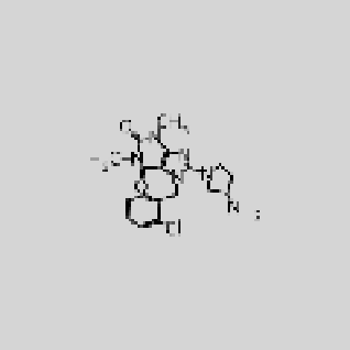 Cn1c(=O)c2c(nc(N3CCC(N)C3)n2Cc2ccccc2Cl)n(C)c1=O